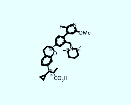 COc1cc(-c2ccc([C@@H]3CCc4ccc([C@H](C5CC5)[C@H](C)C(=O)O)cc4O3)cc2CN2[C@H](C)CCC[C@H]2C)c(F)cn1